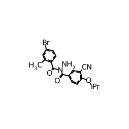 Cc1cc(Br)ccc1C(=O)N(N)C(=O)c1ccc(OC(C)C)c(C#N)c1